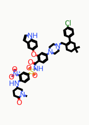 CN1CC(Nc2ccc(S(=O)(=O)NC(=O)c3ccc(N4CCN(CC5=C(c6ccc(Cl)cc6)CC(C)(C)CC5)CC4)cc3Oc3ccc4[nH]ccc4c3)cc2[N+](=O)[O-])CCC1=O